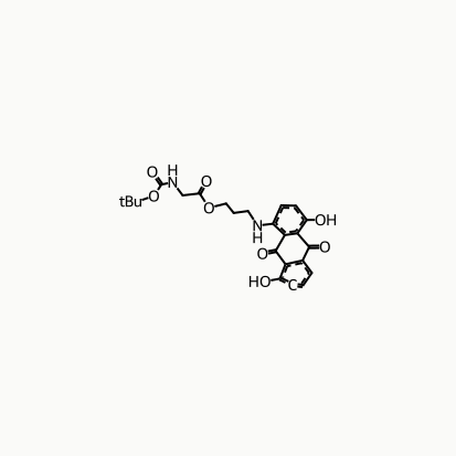 CC(C)(C)OC(=O)NCC(=O)OCCCNc1ccc(O)c2c1C(=O)c1c(O)cccc1C2=O